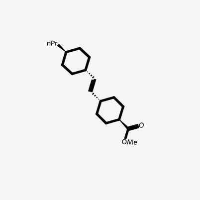 CCC[C@H]1CC[C@H](C=C[C@H]2CC[C@H](C(=O)OC)CC2)CC1